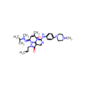 C=CCn1c(=O)c2cnc(Nc3ccc(N4CCN(C)CC4)cc3)nc2n1C(/C=C(/C)C=O)=N/N(C)C(C)C